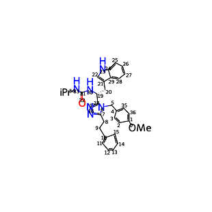 COc1ccc(Cn2c(CCc3ccccc3)nnc2[C@@H](Cc2c[nH]c3ccccc23)NC(=O)NC(C)C)cc1